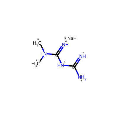 CN(C)C(=N)NC(=N)N.[NaH]